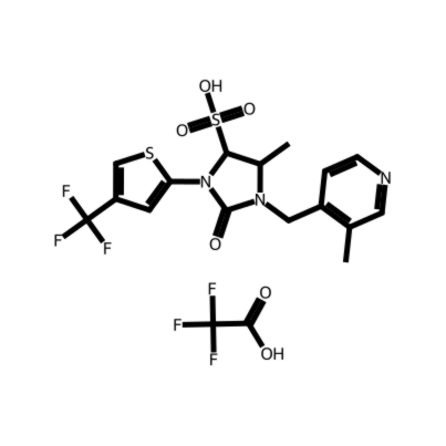 Cc1cnccc1CN1C(=O)N(c2cc(C(F)(F)F)cs2)C(S(=O)(=O)O)C1C.O=C(O)C(F)(F)F